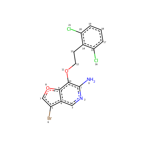 Nc1ncc2c(Br)coc2c1OCCc1c(Cl)cccc1Cl